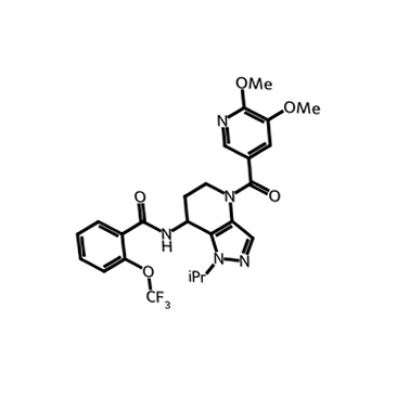 COc1cc(C(=O)N2CCC(NC(=O)c3ccccc3OC(F)(F)F)c3c2cnn3C(C)C)cnc1OC